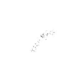 Cc1nc(N)cc2sc(CNC(=O)Cn3cnc4c(c3=O)N[C@H](c3ccc(Cl)cc3)CO4)cc12